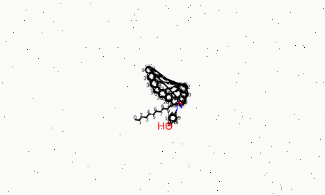 CCCCCCCCCCCC1N(c2ccc(O)cc2)CC2C3=c4c5c6c7c(cc8cc9cc%10cc%11cc%12c%13c(c4c4c5c5c7c8c7c9c%10c8c%11c%13c4c8c75)=C(C3)C%12)CC621